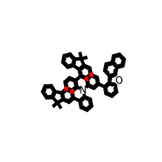 CC1(C)c2ccccc2-c2ccc(-c3ccccc3N(c3cccc(-c4cccc5oc6c7ccccc7ccc6c45)c3)c3ccccc3-c3cccc4c3-c3ccccc3C4(C)C)cc21